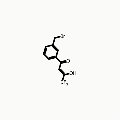 O=C(C=C(O)C(F)(F)F)c1cccc(CBr)c1